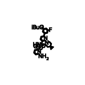 CC(C)COc1cc(F)cc(-c2ccc(C(=O)NS(=O)(=O)c3cccc(N)n3)c(N3CCC4(CC3)CC4)n2)c1